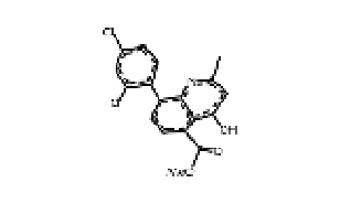 COC(=O)c1ccc(-c2ccc(Cl)cc2Cl)c2nc(C)cc(O)c12